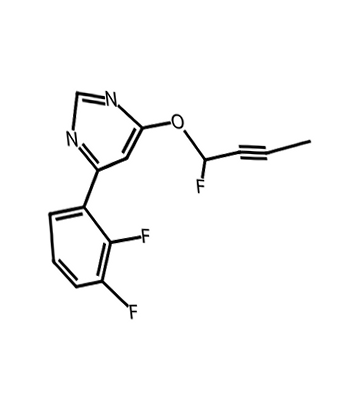 CC#CC(F)Oc1cc(-c2cccc(F)c2F)ncn1